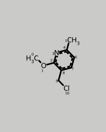 COc1nc(C)ccc1CCl